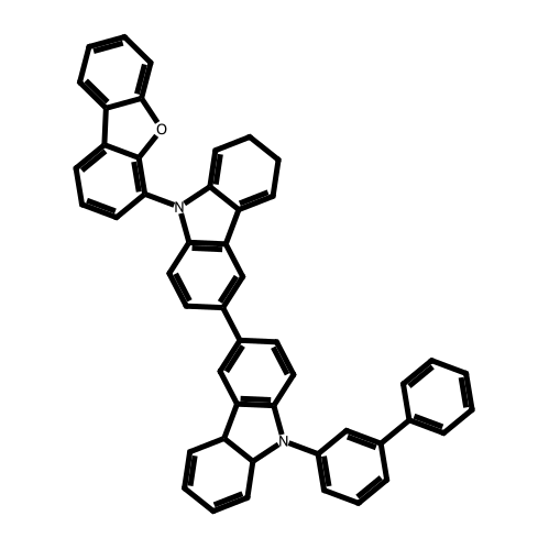 C1=CC2c3cc(-c4ccc5c(c4)c4c(n5-c5cccc6c5oc5ccccc56)=CCCC=4)ccc3N(c3cccc(-c4ccccc4)c3)C2C=C1